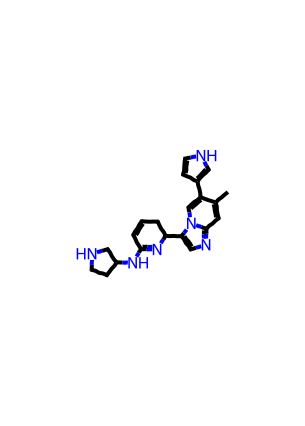 Cc1cc2ncc(C3CC=CC(NC4CCNC4)=N3)n2cc1-c1cc[nH]c1